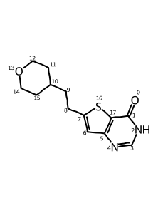 O=c1[nH]cnc2cc(CCC3CCOCC3)sc12